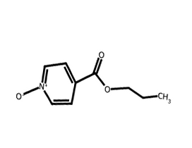 CCCOC(=O)c1cc[n+]([O-])cc1